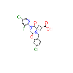 O=C1CN(c2ncc(Cl)cc2F)C(=O)[C@]2(C[C@H](C(=O)O)C2)N1Cc1ccc(Cl)cc1